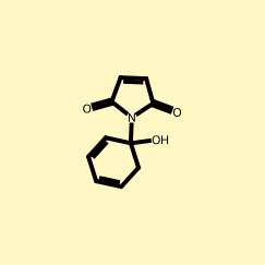 O=C1C=CC(=O)N1C1(O)C=CC=CC1